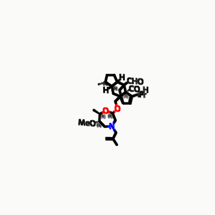 C=C(C)CN1C[C@H](OCC23C[C@@H]4[C@H](C)CC[C@H]4C4(C=O)CC2C=C(C(C)C)[C@@]34C(=O)O)O[C@H](C)[C@@H](OC)C1